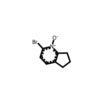 [O-][n+]1c(Br)ccc2c1CCC2